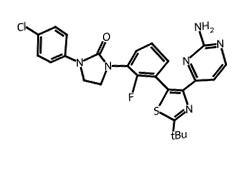 CC(C)(C)c1nc(-c2ccnc(N)n2)c(-c2cccc(N3CCN(c4ccc(Cl)cc4)C3=O)c2F)s1